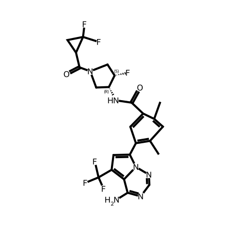 Cc1cc(C)c(-c2cc(C(F)(F)F)c3c(N)ncnn23)cc1C(=O)N[C@@H]1CN(C(=O)C2CC2(F)F)C[C@@H]1F